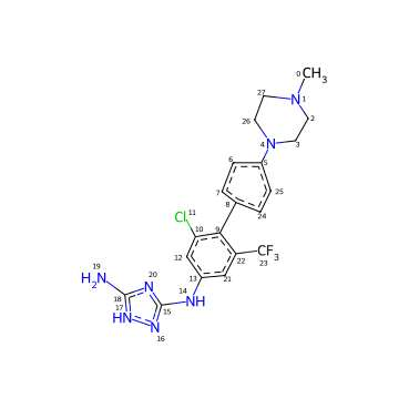 CN1CCN(c2ccc(-c3c(Cl)cc(Nc4n[nH]c(N)n4)cc3C(F)(F)F)cc2)CC1